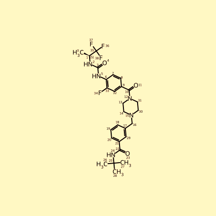 C[C@H](NC(=O)Nc1ccc(C(=O)N2CCN(Cc3cccc(C(=O)NC(C)(C)C)c3)CC2)cc1F)C(F)(F)F